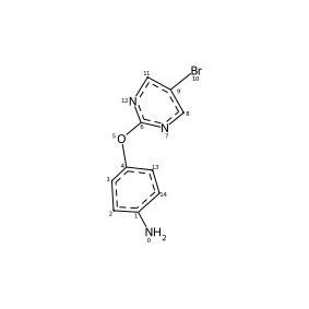 Nc1ccc(Oc2ncc(Br)cn2)cc1